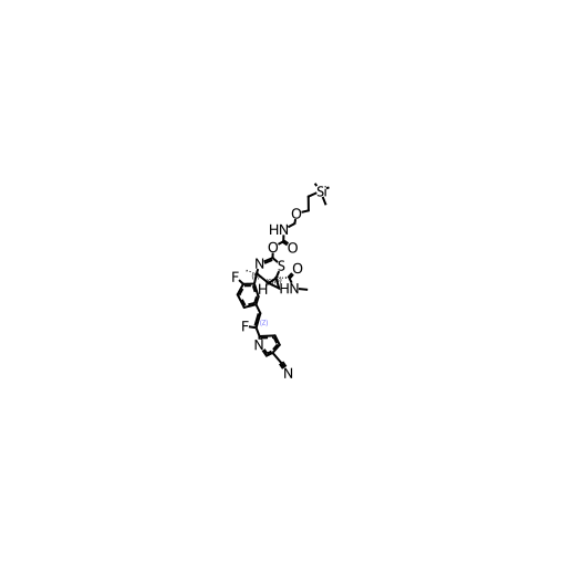 CNC(=O)[C@]12C[C@H]1[C@@](C)(c1cc(/C=C(\F)c3ccc(C#N)cn3)ccc1F)N=C(OC(=O)NCOCC[Si](C)(C)C)S2